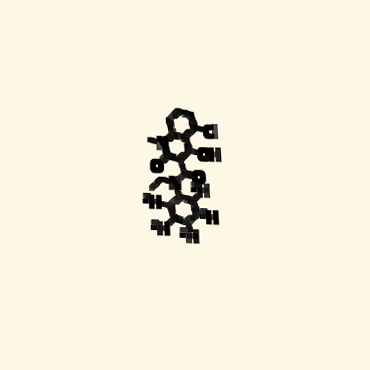 [2H]c1c([2H])c([2H])c(N(CC)C(=O)c2c(O)c3c(Cl)cccc3n(C)c2=O)c([2H])c1[2H]